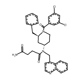 NC(=O)CCC(=O)N(Cc1ccnc2ccccc12)[C@H]1CCN(C(=O)c2cc(Cl)cc(Cl)c2)[C@H](Cc2ccccc2)C1